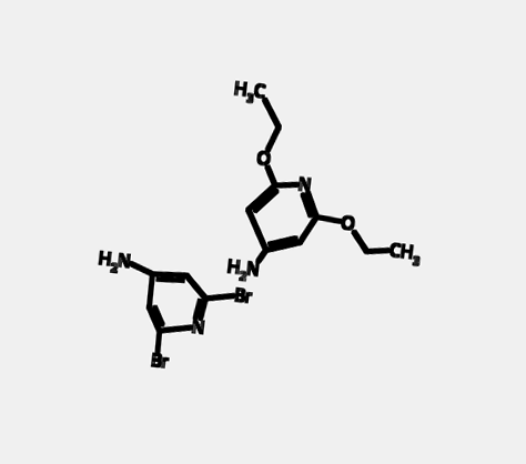 CCOc1cc(N)cc(OCC)n1.Nc1cc(Br)nc(Br)c1